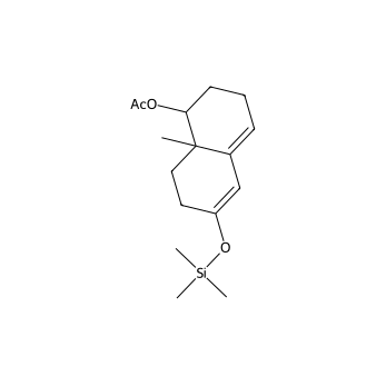 CC(=O)OC1CCC=C2C=C(O[Si](C)(C)C)CCC21C